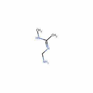 CN/C(C)=N\CN